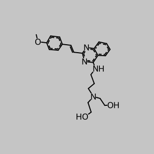 COc1ccc(C=Cc2nc(NCCCN(CCO)CCO)c3ccccc3n2)cc1